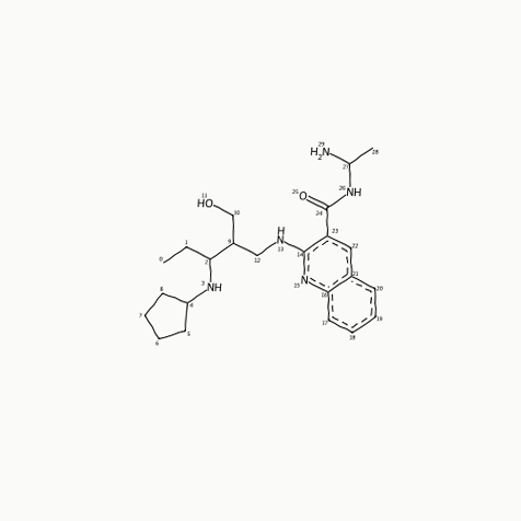 CCC(NC1CCCC1)C(CO)CNc1nc2ccccc2cc1C(=O)NC(C)N